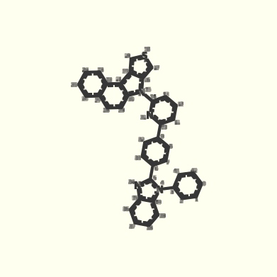 c1ccc(-n2c(-c3ccc(-c4cccc(-n5c6cscc6c6c7ccccc7ccc65)n4)cc3)nc3ccccc32)cc1